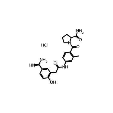 Cc1cc(NC(=O)Cc2cc(C(=N)N)ccc2O)ccc1C(=O)N1CCCC1C(N)=O.Cl